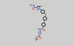 Cc1cc(C(N)=O)nn1-c1ccc(Cc2ccc(-c3ccc(C(=O)NC4CN(C(=O)OC(C)(C)C)C4)cc3)cc2)cc1